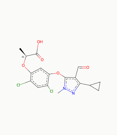 C[C@H](Oc1cc(Oc2c(C=O)c(C3CC3)nn2C)c(Cl)cc1Cl)C(=O)O